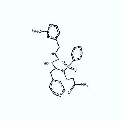 COc1cccc(CNC[C@@H](O)[C@H](Cc2ccccc2)N(CCC(N)=O)S(=O)(=O)c2ccccc2)c1